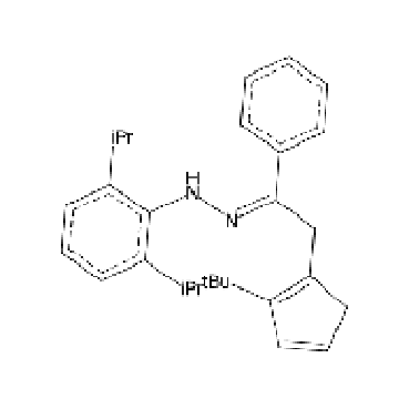 CC(C)c1cccc(C(C)C)c1NN=C(CC1=C(C(C)(C)C)C=CC1)c1ccccc1